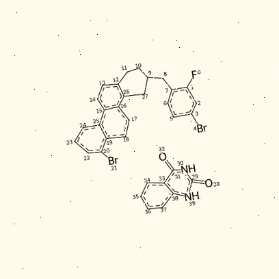 Fc1cc(Br)ccc1CC1CCc2ccc3c(ccc4c(Br)cccc43)c2C1.O=c1[nH]c(=O)c2ccccc2[nH]1